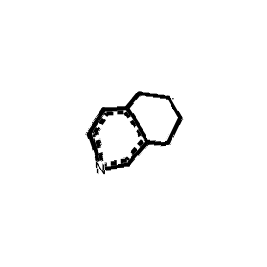 [CH]1CCc2cnccc2C1